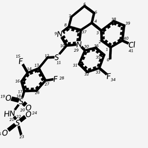 Cc1cc(C2CCCc3nc(SCc4c(F)cc(S(=O)(=O)NS(C)(=O)=O)cc4F)n(-c4ccc(F)cc4)c32)ccc1Cl